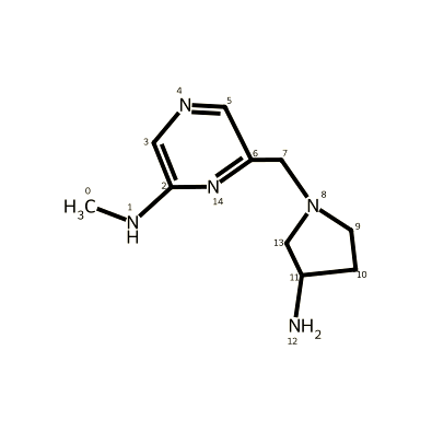 CNc1cncc(CN2CCC(N)C2)n1